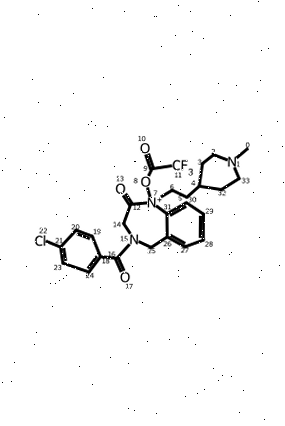 CN1CCC(CC[N+]2(OC(=O)C(F)(F)F)C(=O)CN(C(=O)c3ccc(Cl)cc3)Cc3ccccc32)CC1